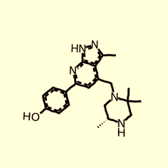 Cc1n[nH]c2nc(-c3ccc(O)cc3)cc(CN3C[C@@H](C)NCC3(C)C)c12